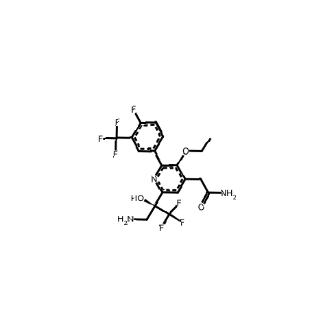 CCOc1c(CC(N)=O)cc([C@@](O)(CN)C(F)(F)F)nc1-c1ccc(F)c(C(F)(F)F)c1